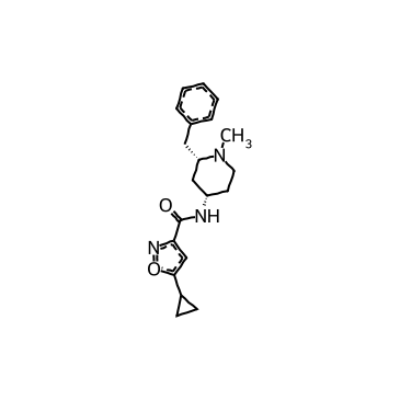 CN1CC[C@H](NC(=O)c2cc(C3CC3)on2)C[C@@H]1Cc1ccccc1